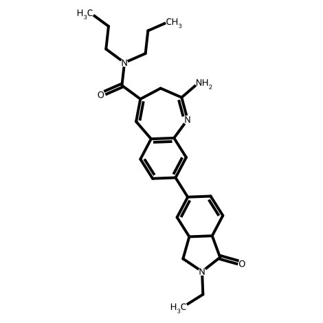 CCCN(CCC)C(=O)C1=Cc2ccc(C3=CC4CN(CC)C(=O)C4C=C3)cc2N=C(N)C1